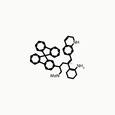 CNCC(C/C(=C\c1ccc2c(c1)NCC=C2)C1=C(N)CCCC1)c1ccc2c(c1)C1(c3ccccc3-c3ccccc31)c1ccccc1-2